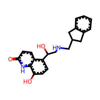 O=c1ccc2c(C(O)CNCC3Cc4ccccc4C3)ccc(O)c2[nH]1